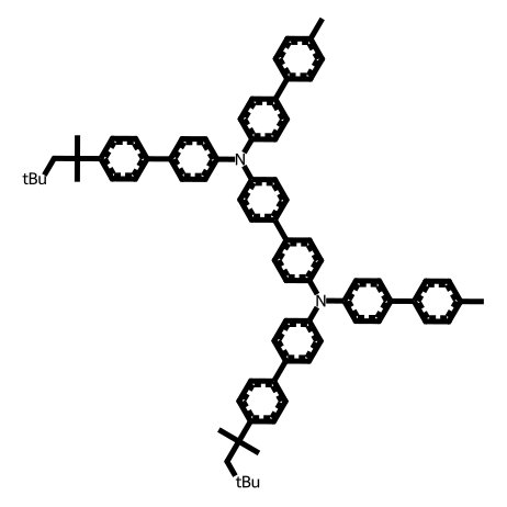 Cc1ccc(-c2ccc(N(c3ccc(-c4ccc(N(c5ccc(-c6ccc(C)cc6)cc5)c5ccc(-c6ccc(C(C)(C)CC(C)(C)C)cc6)cc5)cc4)cc3)c3ccc(-c4ccc(C(C)(C)CC(C)(C)C)cc4)cc3)cc2)cc1